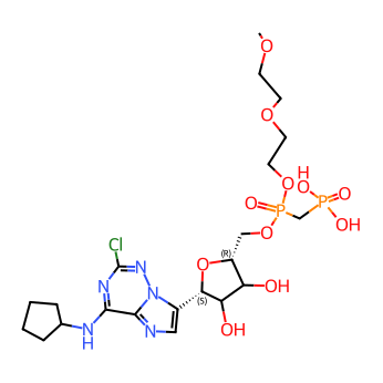 COCCOCCOP(=O)(CP(=O)(O)O)OC[C@H]1O[C@@H](c2cnc3c(NC4CCCC4)nc(Cl)nn23)C(O)C1O